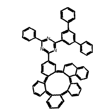 c1ccc(-c2cc(-c3ccccc3)cc(-c3nc(-c4ccccc4)nc(-c4ccc5c6ccccc6c6ccccc6c6ccccc6c6c7ccccc7ccc6c5c4)n3)c2)cc1